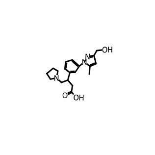 Cc1cc(CO)nn1-c1cccc(C(CC(=O)O)CN2CCCC2)c1